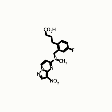 CN(Cc1cc(F)ccc1CCCC(=O)O)c1ccn2ncc([N+](=O)[O-])c2n1